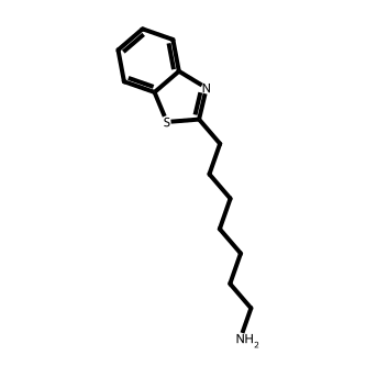 NCCCCCCCc1nc2ccccc2s1